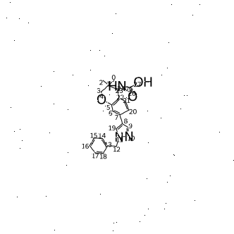 CC1(C)COc2cc(-c3cnn(Cc4ccccc4)c3)ccc2C1NC(=O)O